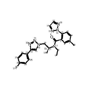 CCN(C(=O)c1cc(C)ccc1-n1nccn1)[C@@H](C)Cn1cc(-c2ccc(F)cc2)nn1